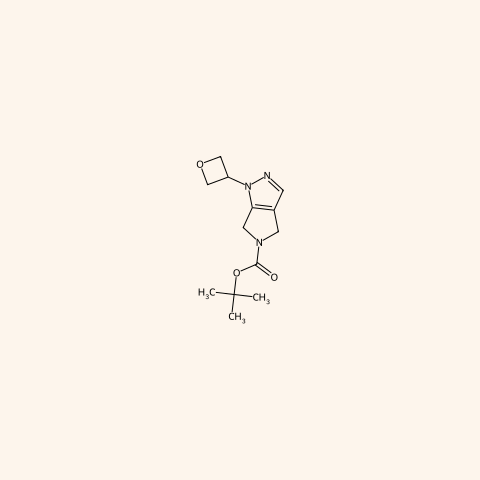 CC(C)(C)OC(=O)N1Cc2cnn(C3COC3)c2C1